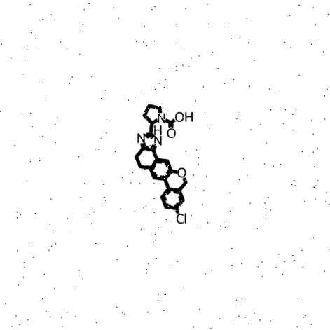 O=C(O)N1CCCC1c1nc2c([nH]1)-c1cc3c(cc1CC2)-c1ccc(Cl)cc1CO3